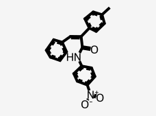 Cc1ccc(C(=Cc2ccccc2)C(=O)Nc2ccc([N+](=O)[O-])cc2)cc1